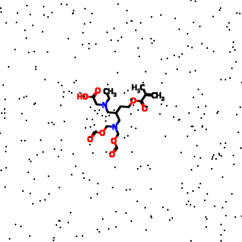 C=C(C)C(=O)OCCC(CN(COC=O)COC=O)CN(CC)CC(=O)O